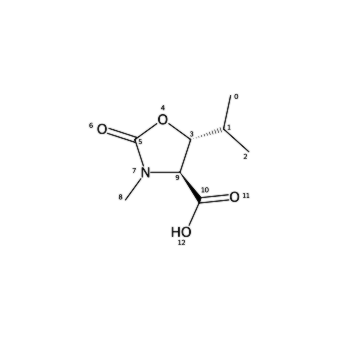 CC(C)[C@H]1OC(=O)N(C)[C@@H]1C(=O)O